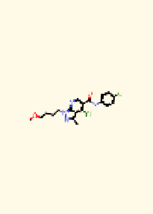 COCCCCn1nc(C)c2c(Cl)c(C(=O)Nc3ccc(Cl)cc3)cnc21